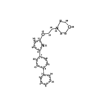 c1ccc(-c2ccc(-c3csc(OCCN4CCOCC4)n3)cc2)cc1